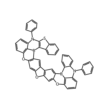 c1ccc(N2c3ccccc3B3c4cc5c(cc4Oc4cccc2c43)oc2cc3c(cc25)B2c4c(cccc4N(c4ccccc4)c4sc5ccccc5c42)O3)cc1